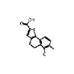 Cc1ccc2c(c1Cl)CCc1cc(C(=O)O)sc1-2